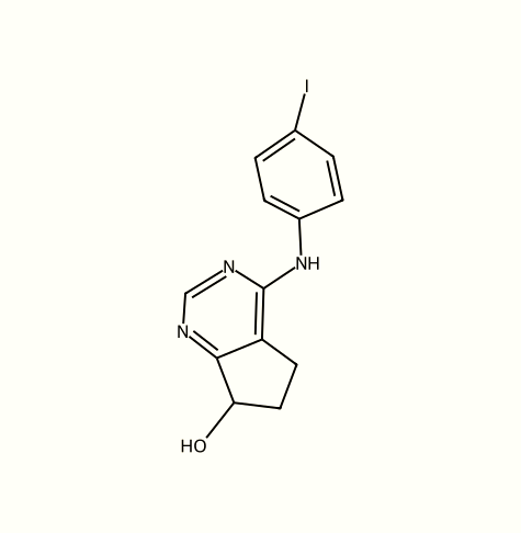 OC1CCc2c(Nc3ccc(I)cc3)ncnc21